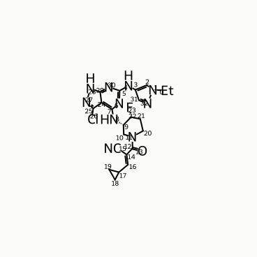 CCn1cc(Nc2nc(N[C@H]3CN(C(=O)/C(C#N)=C/C4CC4)CC[C@H]3F)c3c(Cl)n[nH]c3n2)cn1